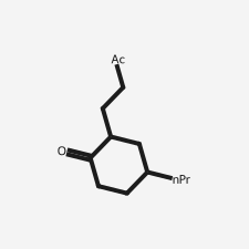 CCCC1CCC(=O)C(CCC(C)=O)C1